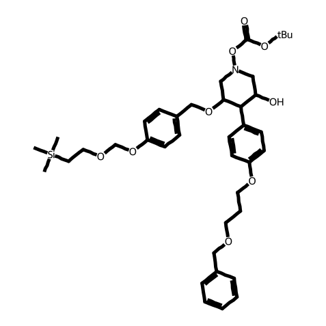 CC(C)(C)OC(=O)ON1CC(O)C(c2ccc(OCCCOCc3ccccc3)cc2)C(OCc2ccc(OCOCC[Si](C)(C)C)cc2)C1